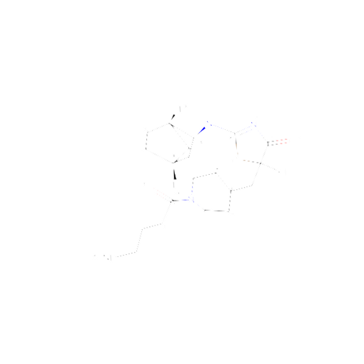 CC(=O)NCCCC(=O)N1CCC(CC2(C)SC(N[C@H]3C[C@@H]4CC[C@H]3C4)=NC2=O)CC1